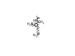 COCCCOc1cc(OC)cc(C(C)NC2CC2)c1